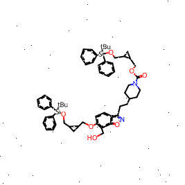 CC(C)(C)[Si](OCC1CC1COC(=O)N1CCC(CCc2noc3c(CO)c(OCC4CC4CO[Si](c4ccccc4)(c4ccccc4)C(C)(C)C)ccc23)CC1)(c1ccccc1)c1ccccc1